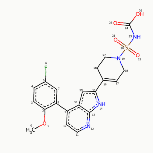 COc1ccc(F)cc1-c1ccnc2[nH]c(C3=CCN(S(=O)(=O)NC(=O)O)CC3)cc12